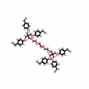 ICc1ccc(OCC(COCCOCCOCCOCC(COc2ccc(CI)cc2)(COc2ccc(CI)cc2)COc2ccc(CI)cc2)(COc2ccc(CI)cc2)COc2ccc(CI)cc2)cc1